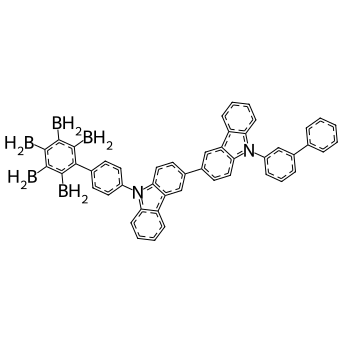 Bc1c(B)c(B)c(-c2ccc(-n3c4ccccc4c4cc(-c5ccc6c(c5)c5ccccc5n6-c5cccc(-c6ccccc6)c5)ccc43)cc2)c(B)c1B